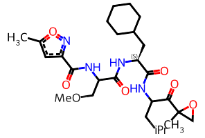 COCC(NC(=O)c1cc(C)on1)C(=O)N[C@@H](CC1CCCCC1)C(=O)NC(CC(C)C)C(=O)C1(C)CO1